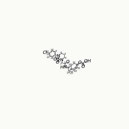 O=C(CN1CCCN(c2ccc(Cl)cc2)S1(=O)=O)NC1C2CC3CC1CC(OC(=O)O)(C3)C2